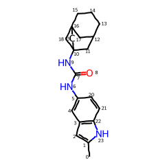 Cc1cc2cc(NC(=O)NC34CC5CCCC(C5)(C3)C4)ccc2[nH]1